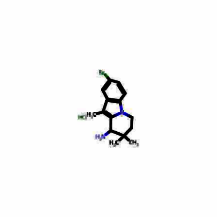 Cc1c2n(c3ccc(Br)cc13)CCC(C)(C)C2N.Cl